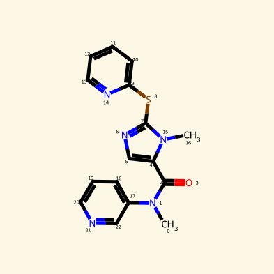 CN(C(=O)c1cnc(Sc2ccccn2)n1C)c1cccnc1